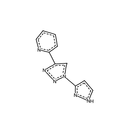 c1ccc(-c2cn(-c3cc[nH]n3)nn2)nc1